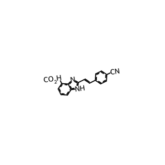 N#Cc1ccc(/C=C/c2nc3c(C(=O)O)cccc3[nH]2)cc1